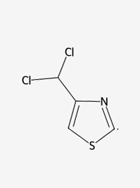 ClC(Cl)c1cs[c]n1